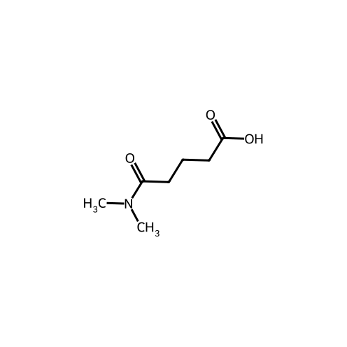 CN(C)C(=O)CCCC(=O)O